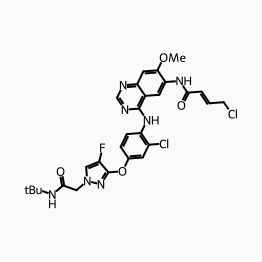 COc1cc2ncnc(Nc3ccc(Oc4nn(CC(=O)NC(C)(C)C)cc4F)cc3Cl)c2cc1NC(=O)/C=C/CCl